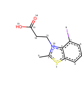 Cc1sc2cccc(I)c2[n+]1CCC(=O)O